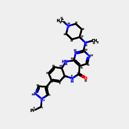 CC(C)Cn1cc(C2=CC3NC(=O)c4cnc(N(C)C5CCN(C)CC5)nc4NC3C=C2)cn1